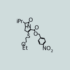 CCOCCSC1=C(C(=O)OCc2ccc([N+](=O)[O-])cc2)N2C(=O)C(C(C)C)C2C1